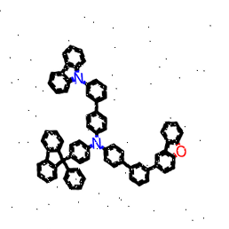 c1ccc(C2(c3ccc(N(c4ccc(-c5cccc(-c6ccc7oc8ccccc8c7c6)c5)cc4)c4ccc(-c5cccc(-n6c7ccccc7c7ccccc76)c5)cc4)cc3)c3ccccc3-c3ccccc32)cc1